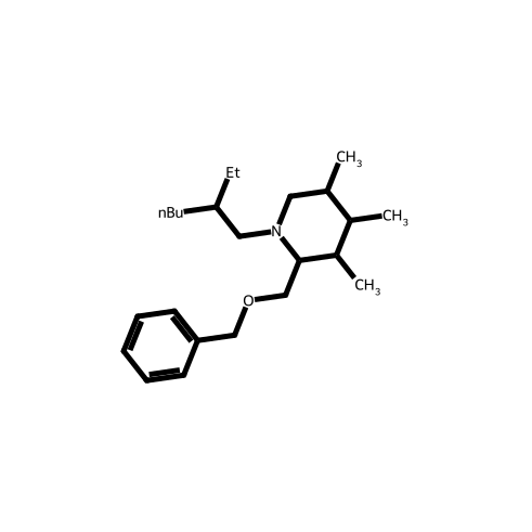 CCCCC(CC)CN1CC(C)C(C)C(C)C1COCc1ccccc1